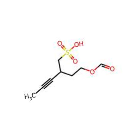 CC#CC(CCOC=O)CS(=O)(=O)O